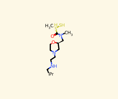 CC(C)CNCCN1CCO[C@@H](CN(C)C(=O)[SH](C)S)C1